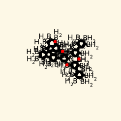 BC(=C)/C(B)=C(/B)C1=C(B)C2(c3c(B)c(B)c(B)c(B)c31)c1c(B)c(B)c(B)c(B)c1-c1c(B)c(B)c(-c3cc(B)c(N(c4c(B)c(B)c(-c5cc(B)c(B)c(B)c5B)c(B)c4B)c4c(B)c(B)c(-c5c(B)c(B)c(B)c(B)c5B)c(B)c4B)cc3B)c(B)c12